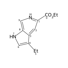 CCOC(=O)c1cc2c(CC)c[nH]c2cn1